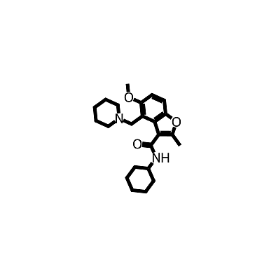 COc1ccc2oc(C)c(C(=O)NC3CCCCC3)c2c1CN1CCCCC1